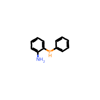 Nc1ccccc1Pc1ccccc1